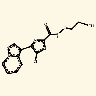 O=C(NOCCO)c1nc(-c2cnn3ccccc23)c(Cl)s1